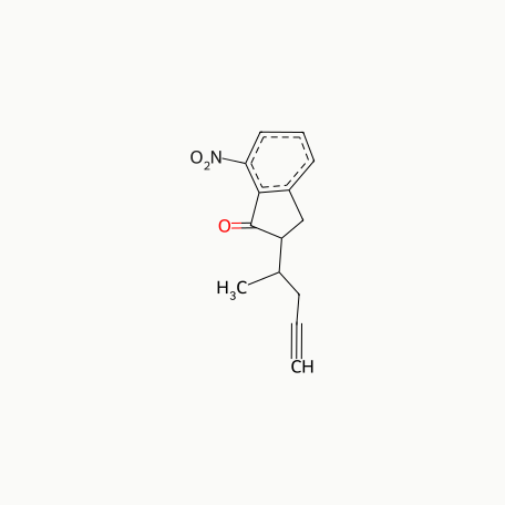 C#CCC(C)C1Cc2cccc([N+](=O)[O-])c2C1=O